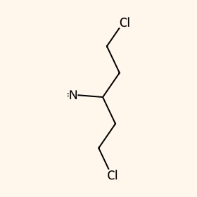 [N]C(CCCl)CCCl